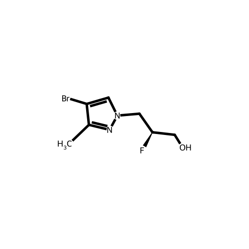 Cc1nn(C[C@H](F)CO)cc1Br